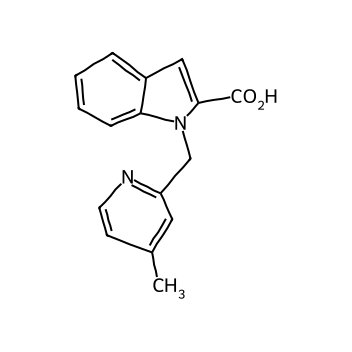 Cc1ccnc(Cn2c(C(=O)O)cc3ccccc32)c1